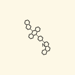 c1ccc2cc(-c3c4ccccc4c(-c4ccc(-c5ccc6ccc7ccccc7c6n5)cc4)c4ccccc34)ccc2c1